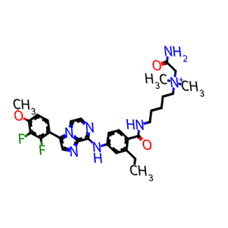 CCc1cc(Nc2nccn3c(-c4ccc(OC)c(F)c4F)cnc23)ccc1C(=O)NCCCCC[N+](C)(C)CC(N)=O